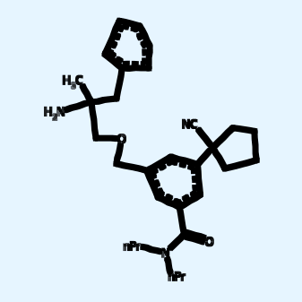 CCCN(CCC)C(=O)c1cc(COCC(C)(N)Cc2ccccc2)cc(C2(C#N)CCCC2)c1